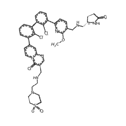 COc1nc(-c2cccc(-c3cccc(-c4ccn5c(=O)c(CNCCN6CCS(=O)(=O)CC6)cnc5c4)c3Cl)c2Cl)ccc1CNC[C@@H]1CCC(=O)N1